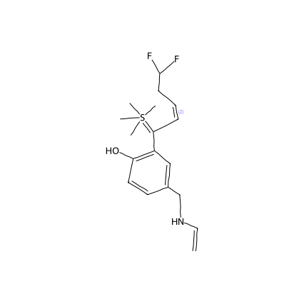 C=CNCc1ccc(O)c(C(/C=C\CC(F)F)=S(C)(C)(C)C)c1